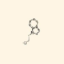 [O]CCn1ccc2ccccc21